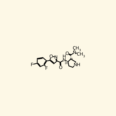 CN(C)C(=O)[C@@H]1CNCC[C@H]1NC(=O)c1cc(-c2ccc(F)cc2F)on1